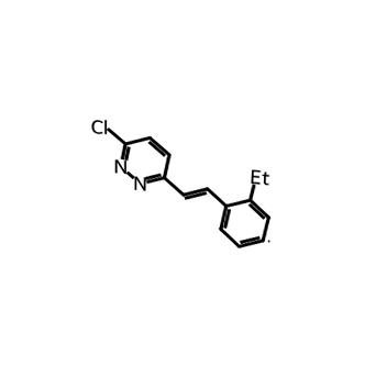 CCc1c[c]ccc1C=Cc1ccc(Cl)nn1